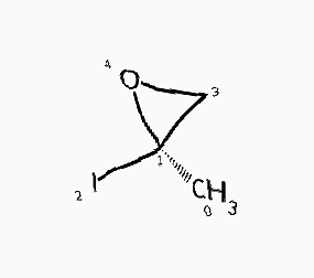 C[C@@]1(I)CO1